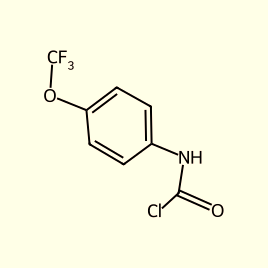 O=C(Cl)Nc1ccc(OC(F)(F)F)cc1